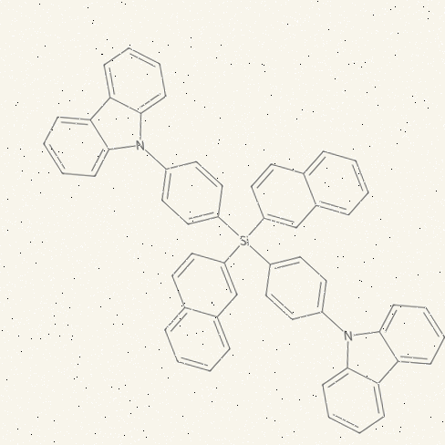 c1ccc2cc([Si](c3ccc(-n4c5ccccc5c5ccccc54)cc3)(c3ccc(-n4c5ccccc5c5ccccc54)cc3)c3ccc4ccccc4c3)ccc2c1